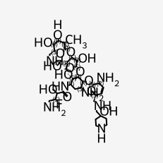 C[C@H]1[C@@H](O[C@H]2[C@@H](O)[C@H](O[C@@H]3[C@@H](O)[C@H](NC(=O)C(O)[C@@H](F)CN)C[C@H](N)[C@H]3O[C@H]3O[C@H](CNCC4(O)CCNCC4)C=C[C@H]3N)O[C@@H]2CO)O[C@@H](CN)[C@@H](O)[C@@H]1O